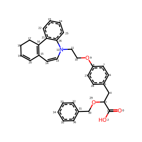 O=C(O)C(Cc1ccc(OCCN2C=CC3=C(CCC=C3)c3ccccc32)cc1)OCc1ccccc1